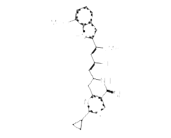 COc1cccc2cc(/C(=C/C(Cl)=C/C3Cc4nc(C5CC5)ncc4C(=N)N3)SC)[nH]c12